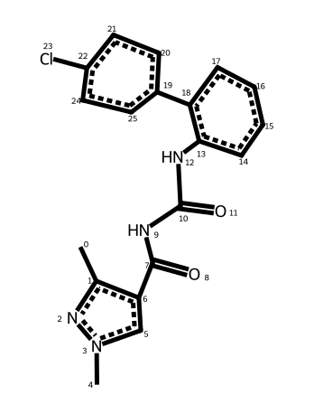 Cc1nn(C)cc1C(=O)NC(=O)Nc1ccccc1-c1ccc(Cl)cc1